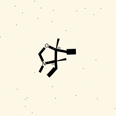 C#C[C@@]1(C)OCN(C)[C@@]1(C)C=C